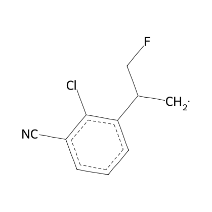 [CH2]C(CF)c1cccc(C#N)c1Cl